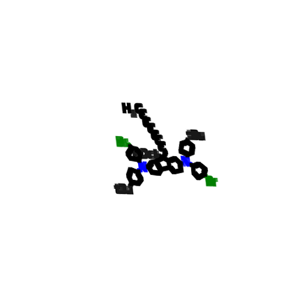 C=C=C=C=C=C=C=CC1(CCCCCCCC)c2cc(N(c3ccc(Br)cc3)c3ccc(C(C)(C)C)cc3)ccc2-c2ccc(N(c3ccc(Br)cc3)c3ccc(C(C)(C)C)cc3)cc21